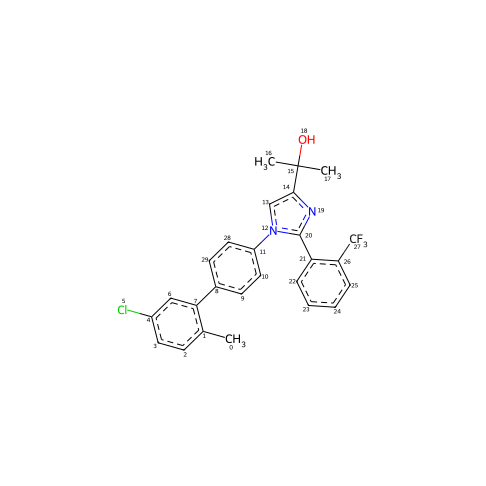 Cc1ccc(Cl)cc1-c1ccc(-n2cc(C(C)(C)O)nc2-c2ccccc2C(F)(F)F)cc1